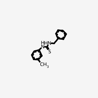 Cc1cccc(NC(=S)NCc2ccccc2)c1